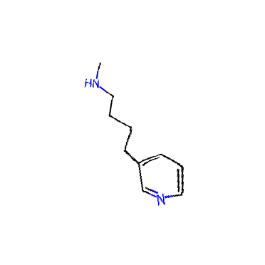 CNCCCCc1cccnc1